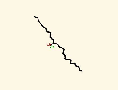 CCCCCCCCCCCCCC(CCCCCCCCCC)C(=O)Cl